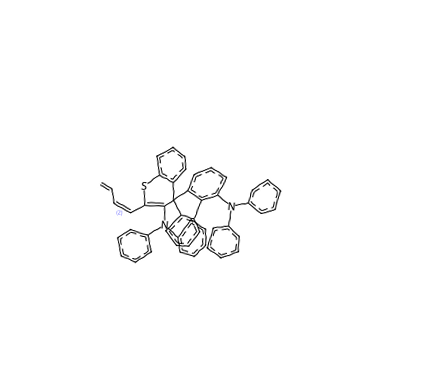 C=C/C=C\C1=C(N(c2ccccc2)c2ccccc2)C2(c3ccccc3S1)c1ccccc1-c1c(N(c3ccccc3)c3ccccc3)cccc12